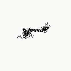 CC(=O)c1c(C)c2cnc(Nc3ccc(N4CCN(C5CN(c6ccc7c(c6)C(=O)N(C6CCC(=O)NC6=O)C7=O)C5)CC4)cn3)nc2n(C2CCCC2)c1=O